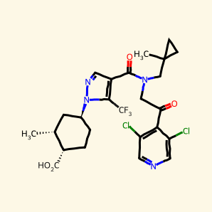 C[C@@H]1C[C@@H](n2ncc(C(=O)N(CC(=O)c3c(Cl)cncc3Cl)CC3(C)CC3)c2C(F)(F)F)CC[C@@H]1C(=O)O